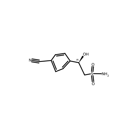 N#Cc1ccc([C@@H](O)CS(N)(=O)=O)cc1